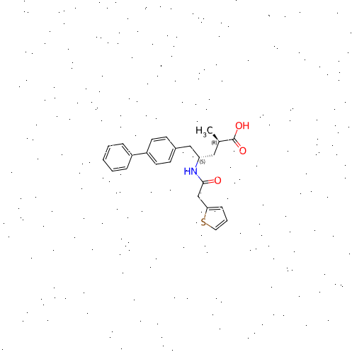 C[C@H](C[C@@H](Cc1ccc(-c2ccccc2)cc1)NC(=O)Cc1cccs1)C(=O)O